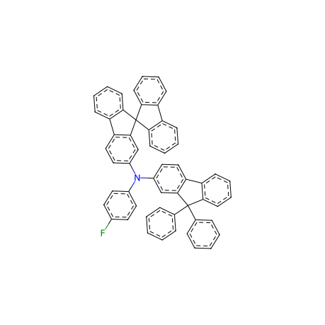 Fc1ccc(N(c2ccc3c(c2)C(c2ccccc2)(c2ccccc2)c2ccccc2-3)c2ccc3c(c2)C2(c4ccccc4-c4ccccc42)c2ccccc2-3)cc1